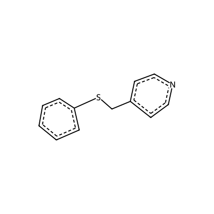 c1ccc(SCc2ccncc2)cc1